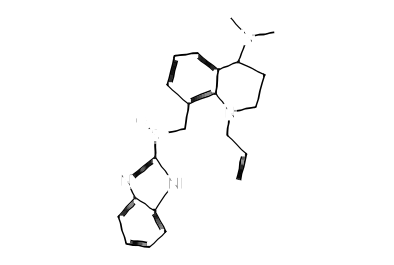 C=CCN1CCC(N(C)C)c2cccc(C[S+]([O-])c3nc4ccccc4[nH]3)c21